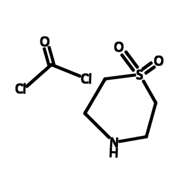 O=C(Cl)Cl.O=S1(=O)CCNCC1